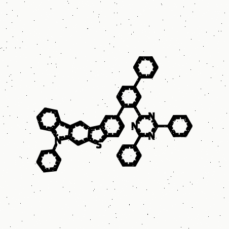 c1ccc(-c2ccc(-c3ccc4sc5cc6c(cc5c4c3)c3ccccc3n6-c3ccccc3)c(-c3nc(-c4ccccc4)nc(-c4ccccc4)n3)c2)cc1